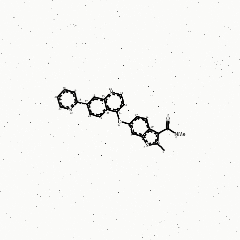 CNC(=O)c1c(C)sc2cc(Oc3ccnc4cc(-c5ccccn5)ccc34)ccc12